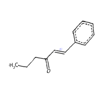 [CH2]CCC(=O)/C=C/c1ccccc1